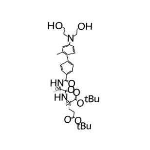 Cc1cc(N(CCO)CCO)ccc1-c1ccc(C(=O)N[C@@H](C)C(=O)N[C@@H](CCC(=O)OC(C)(C)C)C(=O)OC(C)(C)C)cc1